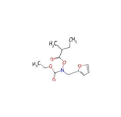 CCOC(=O)N(Cc1ccco1)OC(=O)C(C)CC